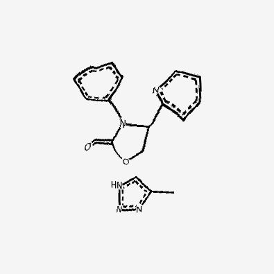 Cc1c[nH]nn1.O=C1OCC(c2ccccn2)N1c1ccccc1